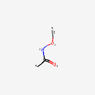 [CH2]CO[N]C(C)=O